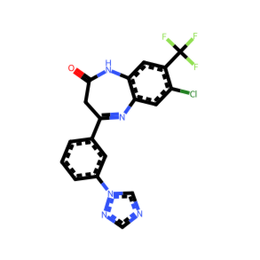 O=C1CC(c2cccc(-n3cncn3)c2)=Nc2cc(Cl)c(C(F)(F)F)cc2N1